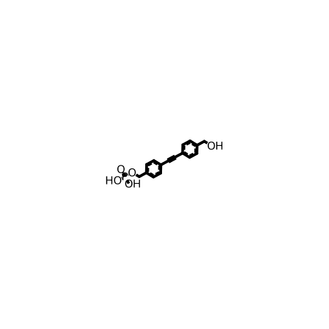 O=P(O)(O)OCc1ccc(C#Cc2ccc(CO)cc2)cc1